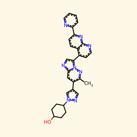 Cc1nn2c(-c3ccnc4nc(-c5ccccn5)ccc34)cnc2cc1-c1cnn(C2CCC(O)CC2)c1